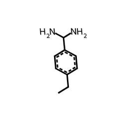 CCc1ccc(C(N)N)cc1